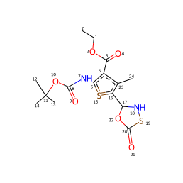 CCOC(=O)c1c(NC(=O)OC(C)(C)C)sc(C2NSC(=O)O2)c1C